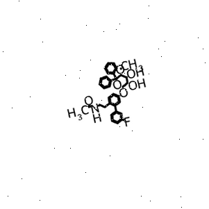 CO[C@@H]1[C@@H](O)[C@@H](O)[C@H](Oc2ccc(CCNC(C)=O)c(-c3cccc(F)c3)c2)OC1(c1ccccc1)c1ccccc1